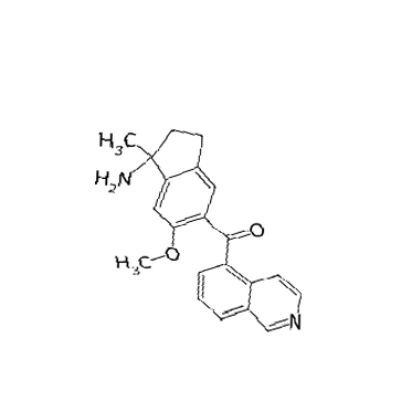 COc1cc2c(cc1C(=O)c1cccc3cnccc13)CCC2(C)N